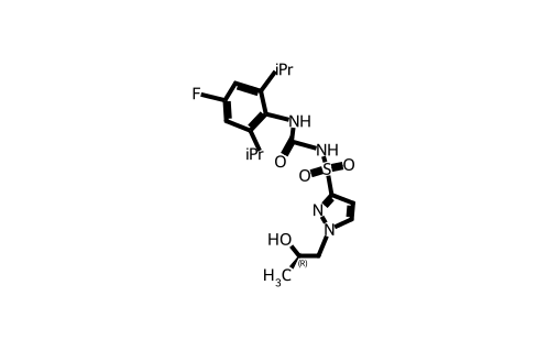 CC(C)c1cc(F)cc(C(C)C)c1NC(=O)NS(=O)(=O)c1ccn(C[C@@H](C)O)n1